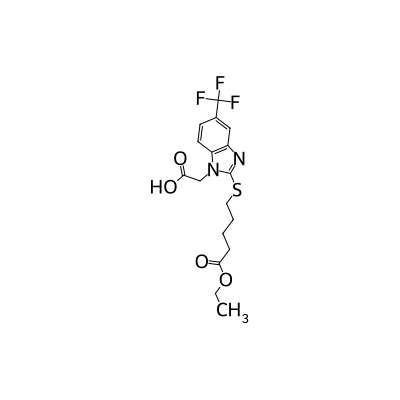 CCOC(=O)CCCCSc1nc2cc(C(F)(F)F)ccc2n1CC(=O)O